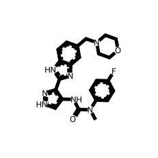 CN(C(=O)Nc1c[nH]nc1-c1nc2cc(CN3CCOCC3)ccc2[nH]1)c1ccc(F)cc1